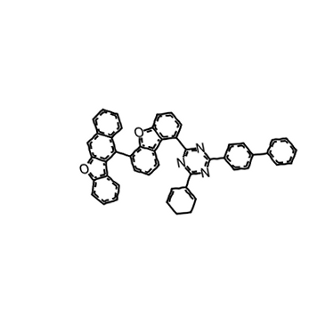 C1=CC(c2nc(-c3ccc(-c4ccccc4)cc3)nc(-c3cccc4oc5c(-c6c7ccccc7cc7oc8ccccc8c67)cccc5c34)n2)=CCC1